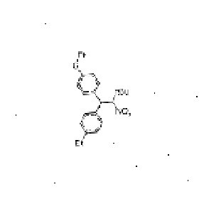 CCCCC(C(c1ccc(CC)cc1)c1ccc(OCC)cc1)[N+](=O)[O-]